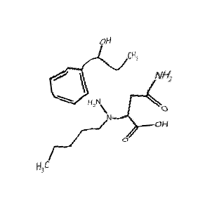 CCC(O)c1ccccc1.CCCCCN(N)C(CC(N)=O)C(=O)O